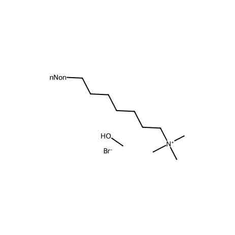 CCCCCCCCCCCCCCCC[N+](C)(C)C.CO.[Br-]